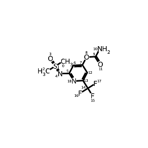 CS(C)(=O)=Nc1cc(OC(N)=O)cc(C(F)(F)F)n1